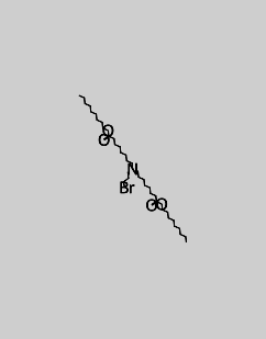 CCCCCCCCCOC(=O)CCCCCCCN(CCCBr)CCCCCCCC(=O)OCCCCCCCCC